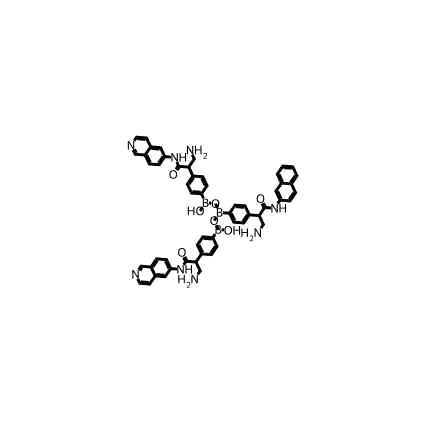 NCC(C(=O)Nc1ccc2ccccc2c1)c1ccc(B(OB(O)c2ccc(C(CN)C(=O)Nc3ccc4cnccc4c3)cc2)OB(O)c2ccc(C(CN)C(=O)Nc3ccc4cnccc4c3)cc2)cc1